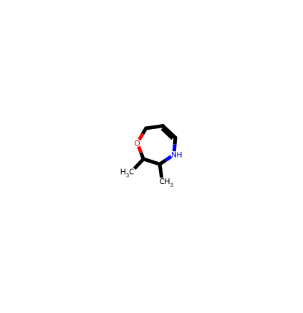 CC1NC=CCOC1C